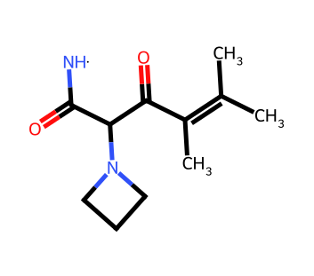 CC(C)=C(C)C(=O)C(C([NH])=O)N1CCC1